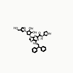 O=C(NC1CCNC1)c1nc(NCC(c2ccccc2)c2ccccc2)c2ncn([C@@H]3C[C@H](n4cc(CO)cn4)[C@@H](O)C3O)c2n1